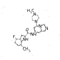 Cc1ccc(F)c2cc(C(=O)Nc3cc(N4CCN(C)CC4)n4cncc4c3)[nH]c12